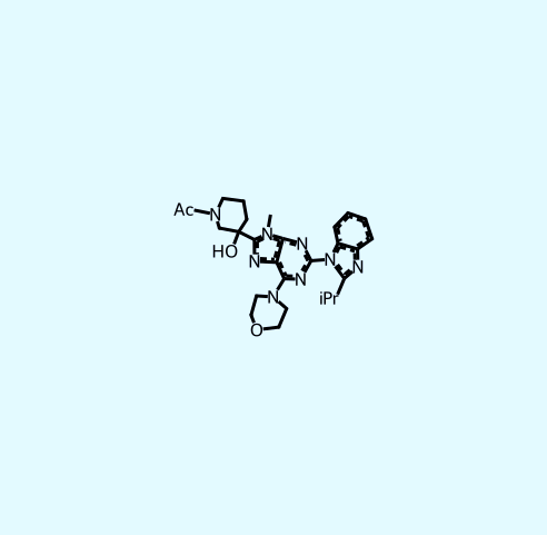 CC(=O)N1CCCC(O)(c2nc3c(N4CCOCC4)nc(-n4c(C(C)C)nc5ccccc54)nc3n2C)C1